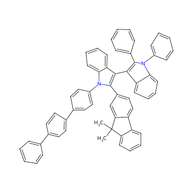 CC1(C)c2ccccc2-c2ccc(-c3c(-c4c(-c5ccccc5)n(-c5ccccc5)c5ccccc45)c4ccccc4n3-c3ccc(-c4ccc(-c5ccccc5)cc4)cc3)cc21